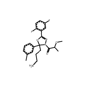 COC(C)C(=O)N1N=C(c2cc(F)ccc2F)OC1(CCCN)c1cccc(C)c1